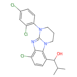 CC(C)C(O)c1ccc(Cl)c2nc3n(c12)CCCN3c1ccc(Cl)cc1Cl